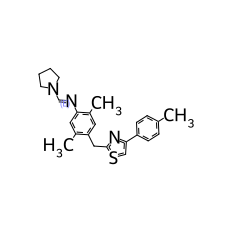 Cc1ccc(-c2csc(Cc3cc(C)c(/N=C/N4CCCC4)cc3C)n2)cc1